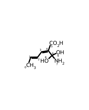 CC=CC=C(C(=O)O)C(N)(O)O